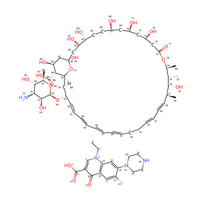 CCn1cc(C(=O)O)c(=O)c2cc(F)c(N3CCNCC3)cc21.C[C@@H]1[C@H](O)[C@@H](C)/C=C/C=C/CC/C=C/C=C/C=C/C=C/[C@H](O[C@@H]2O[C@H](C)[C@@H](O)[C@H](N)[C@@H]2O)C[C@@H]2O[C@](O)(C[C@@H](O)[C@H](O)CC[C@@H](O)C[C@@H](O)C[C@@H](O)CC(=O)O[C@H]1C)C[C@H](O)[C@H]2C(=O)O